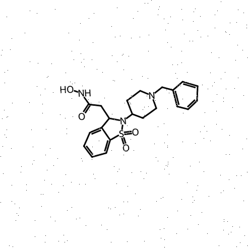 O=C(CC1c2ccccc2S(=O)(=O)N1C1CCN(Cc2ccccc2)CC1)NO